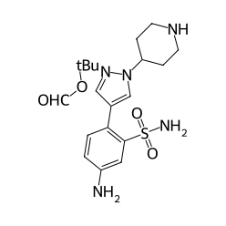 CC(C)(C)OC=O.Nc1ccc(-c2cnn(C3CCNCC3)c2)c(S(N)(=O)=O)c1